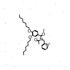 CCCCCCCOc1ccc(C(=O)N(Cc2cccc[n+]2C)C(C)=O)cc1OCCCCCCC.[I-]